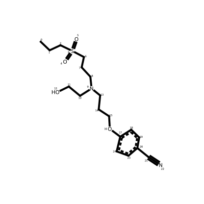 CCCS(=O)(=O)CCCN(CCO)CCCOc1ccc(C#N)cc1